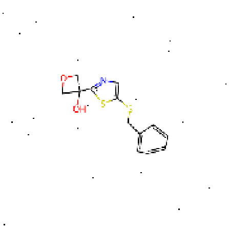 OC1(c2ncc(SCc3ccccc3)s2)COC1